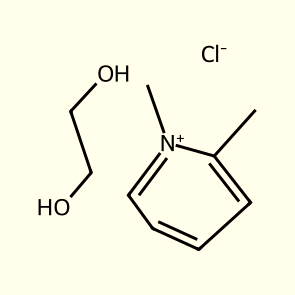 Cc1cccc[n+]1C.OCCO.[Cl-]